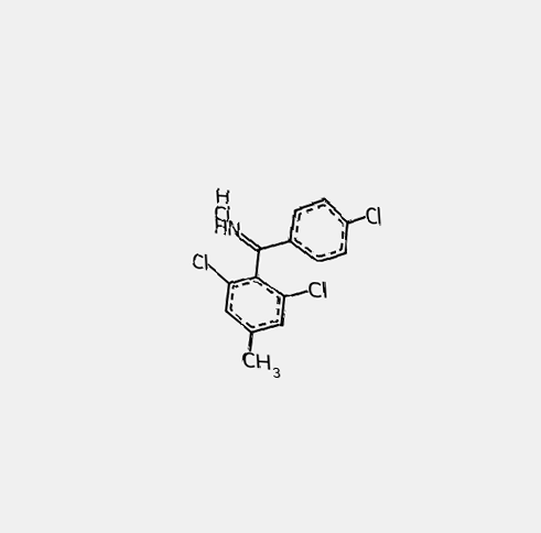 Cc1cc(Cl)c(C(=N)c2ccc(Cl)cc2)c(Cl)c1.Cl